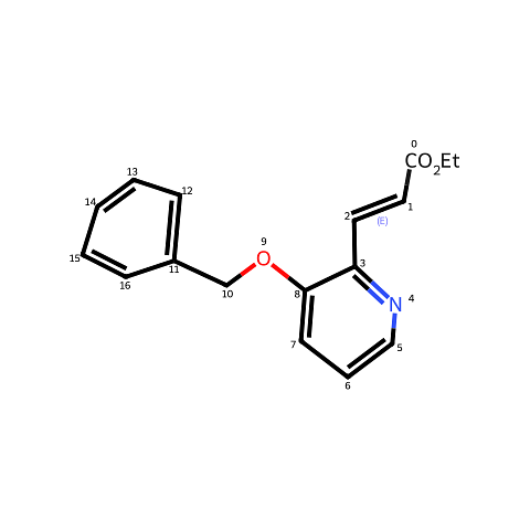 CCOC(=O)/C=C/c1ncccc1OCc1ccccc1